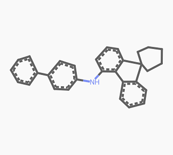 c1ccc(-c2ccc(Nc3cccc4c3-c3ccccc3C43CCCCC3)cc2)cc1